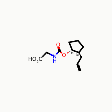 C=CC[C@@H]1CCC[C@H]1OC(=O)NCC(=O)O